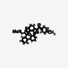 CNCCC(Oc1ccccc1-n1nc(C(=O)N2CCN(C)CC2)c2c1-c1ccsc1CC2)c1ccccc1